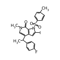 Cc1ccc(S(=O)(=O)n2c(I)cc3c(C(C)c4ccc(F)cc4)cn(C)c(=O)c32)cc1